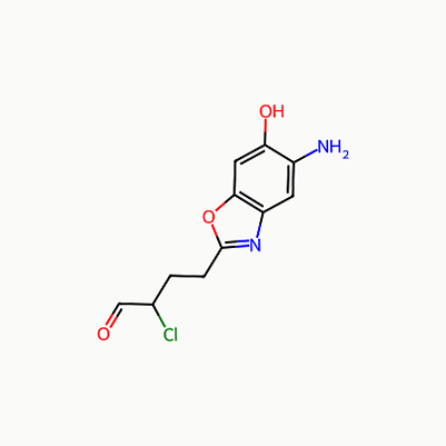 Nc1cc2nc(CCC(Cl)C=O)oc2cc1O